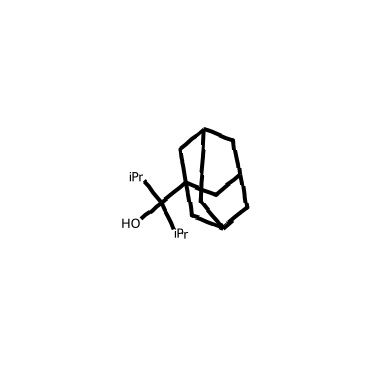 CC(C)C(O)(C(C)C)C12CC3CC(CC(C3)C1)C2